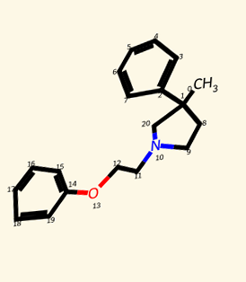 CC1(c2ccccc2)CCN(CCOc2ccccc2)C1